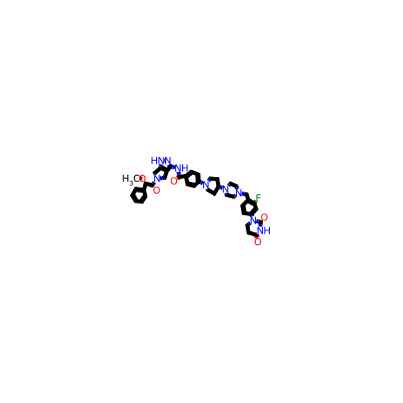 CO[C@@H](C(=O)N1Cc2[nH]nc(NC(=O)c3ccc(N4CCC(N5CCN(Cc6ccc(N7CCC(=O)NC7=O)cc6F)CC5)CC4)cc3)c2C1)c1ccccc1